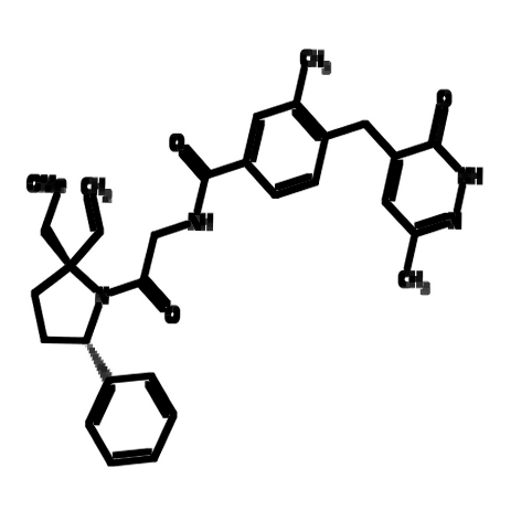 C=C[C@@]1(COC)CC[C@@H](c2ccccc2)N1C(=O)CNC(=O)c1ccc(Cc2cc(C)n[nH]c2=O)c(C)c1